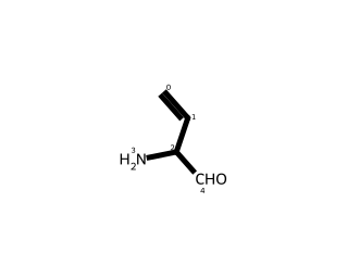 C=CC(N)C=O